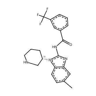 Cc1ccc2c(c1)nc(NC(=O)c1cccc(C(F)(F)F)c1)n2[C@H]1CCCNC1